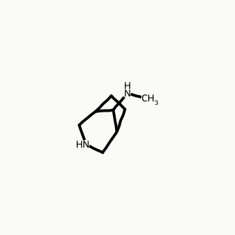 CNC1C2CCC1CNC2